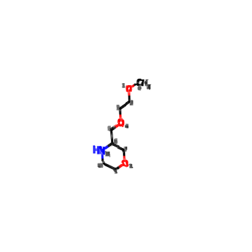 COCCOCC1COCCN1